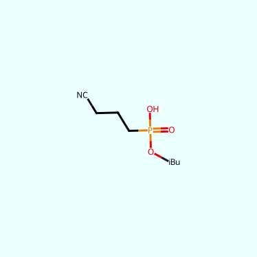 CCC(C)OP(=O)(O)CCCC#N